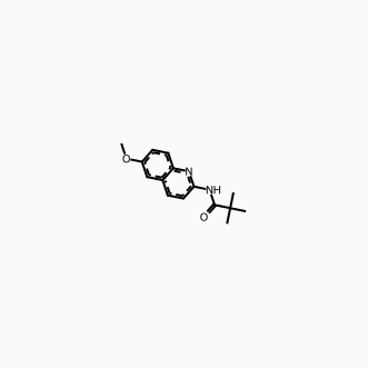 COc1ccc2nc(NC(=O)C(C)(C)C)ccc2c1